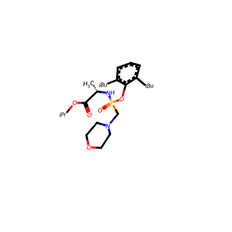 CCC(C)c1cccc(C(C)CC)c1OP(=O)(CN1CCOCC1)N[C@@H](C)C(=O)OC(C)C